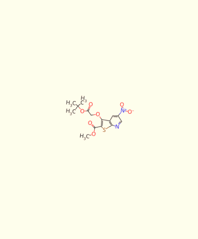 COC(=O)c1sc2ncc([N+](=O)[O-])cc2c1OCC(=O)OC(C)(C)C